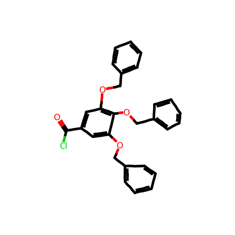 O=C(Cl)c1cc(OCc2ccccc2)c(OCc2ccccc2)c(OCc2ccccc2)c1